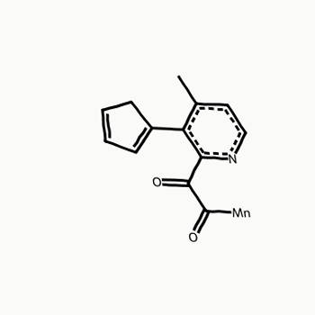 Cc1ccnc(C(=O)[C](=O)[Mn])c1C1=CC=CC1